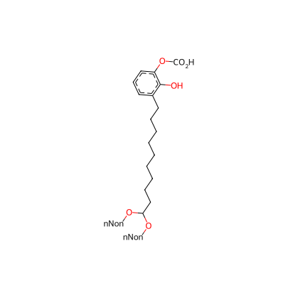 CCCCCCCCCOC(CCCCCCCCCc1cccc(OC(=O)O)c1O)OCCCCCCCCC